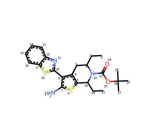 CCC1Cc2c(sc(N)c2-c2nc3ccccc3s2)C(CC)N1C(=O)OC(C)(C)C